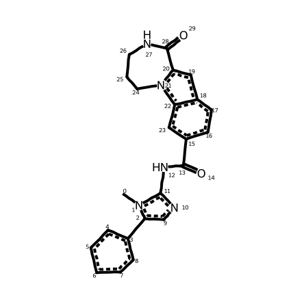 Cn1c(-c2ccccc2)cnc1NC(=O)c1ccc2cc3n(c2c1)CCCNC3=O